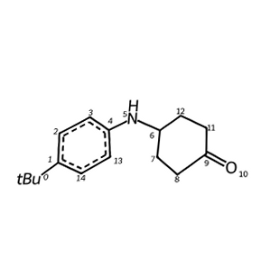 CC(C)(C)c1ccc(NC2CCC(=O)CC2)cc1